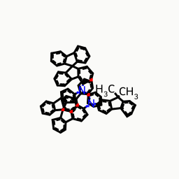 CC1(C)c2ccccc2-c2ccc(N(c3ccc4c(c3)C3(c5ccccc5-4)c4ccccc4-c4ccc(N(c5ccccc5)c5cccc6c5-c5ccccc5C65c6ccccc6-c6ccccc65)cc43)c3ccccc3-c3ccccc3)cc21